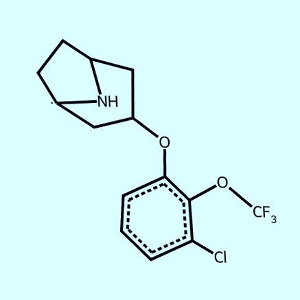 FC(F)(F)Oc1c(Cl)cccc1OC1C[C]2CCC(C1)N2